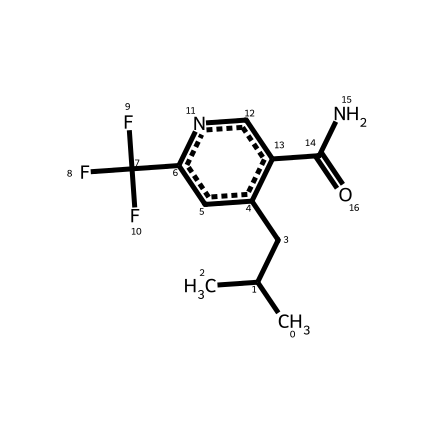 CC(C)Cc1cc(C(F)(F)F)ncc1C(N)=O